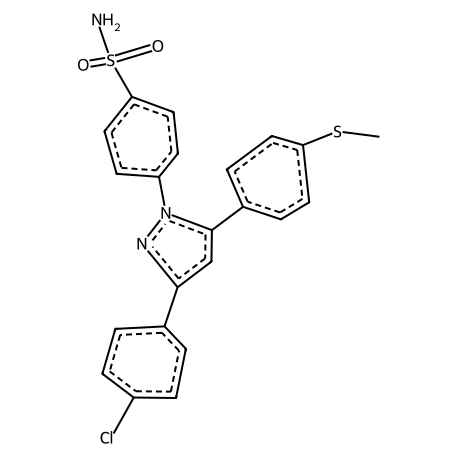 CSc1ccc(-c2cc(-c3ccc(Cl)cc3)nn2-c2ccc(S(N)(=O)=O)cc2)cc1